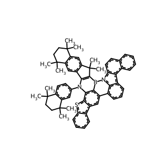 CC1(C)CCC(C)(C)c2cc(N3C4=C(B5c6c(cc7c(sc8ccccc87)c63)-c3cccc6c7c8ccccc8ccc7n5c36)C(C)(C)c3cc5c(cc34)C(C)(C)CCC5(C)C)ccc21